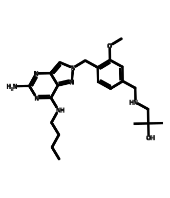 CCCCNc1nc(N)nc2cn(Cc3ccc(CNCC(C)(C)O)cc3OC)nc12